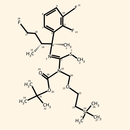 CS/C(=N\[C@](C)(c1cccc(F)c1F)[C@H](C)CCF)N(COCC[Si](C)(C)C)C(=O)OC(C)(C)C